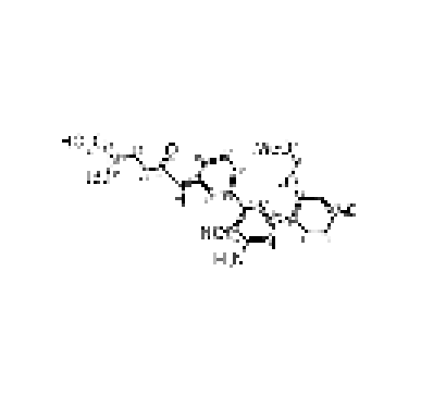 COCOc1cc(Cl)ccc1-c1cc(-c2cccc(NC(=O)CCN(C(=O)O)C(C)(C)C)c2)c(C#N)c(N)n1